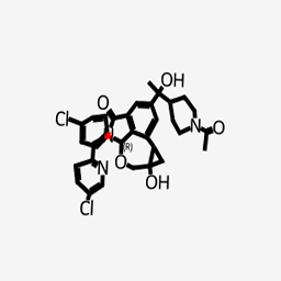 CC(=O)N1CCC(C(C)(O)c2cc3c4c(c2)C2CC2(O)CO[C@@]4(c2ccc(Cl)cc2)N(Cc2ccc(Cl)cn2)C3=O)CC1